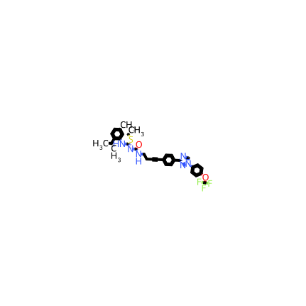 CCS/C(=N\C(=O)NCCC#Cc1ccc(-c2ncn(-c3ccc(OC(F)(F)F)cc3)n2)cc1)Nc1cc(C)ccc1C(C)C